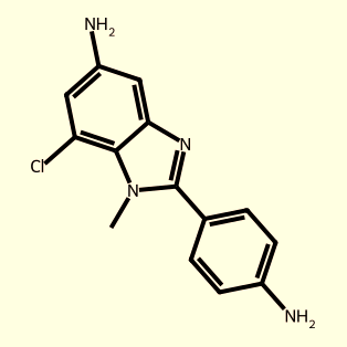 Cn1c(-c2ccc(N)cc2)nc2cc(N)cc(Cl)c21